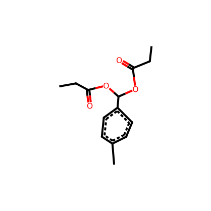 CCC(=O)OC(OC(=O)CC)c1ccc(C)cc1